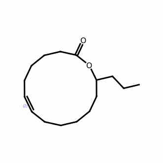 CCCC1CCCCC/C=C\CCCCC(=O)O1